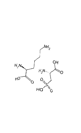 NCCCC[C@H](N)C(=O)O.N[C@@H](CS(=O)(=O)O)C(=O)O